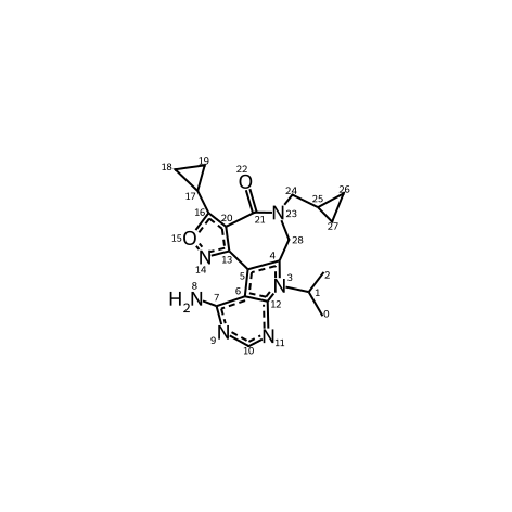 CC(C)n1c2c(c3c(N)ncnc31)-c1noc(C3CC3)c1C(=O)N(CC1CC1)C2